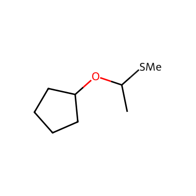 CSC(C)OC1CCCC1